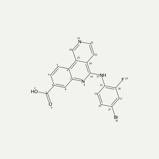 O=C(O)c1ccc2c(c1)nc(Nc1ccc(Br)cc1F)c1ccncc12